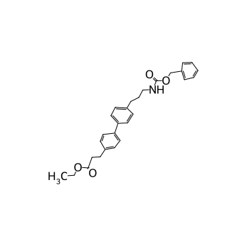 CCOC(=O)CCc1ccc(-c2ccc(CCCNC(=O)OCc3ccccc3)cc2)cc1